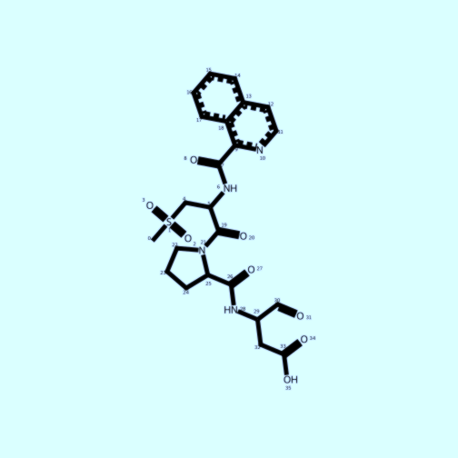 CS(=O)(=O)CC(NC(=O)c1nccc2ccccc12)C(=O)N1CCCC1C(=O)NC(C=O)CC(=O)O